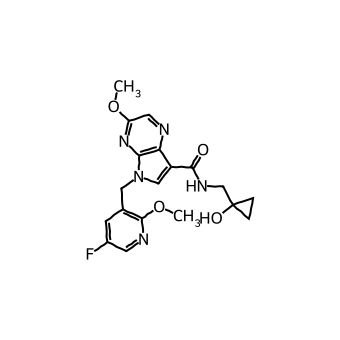 COc1cnc2c(C(=O)NCC3(O)CC3)cn(Cc3cc(F)cnc3OC)c2n1